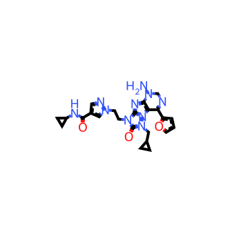 NN1CN=C(c2ccco2)c2c1nc1n(CCn3cc(C(=O)NC4CC4)cn3)c(=O)n(CC3CC3)n21